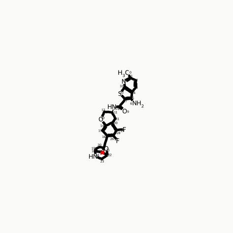 Cc1ccc2c(N)c(C(=O)N[C@H]3COc4cc(N5CC6COC(CN6)C5)c(F)c(F)c4C3)sc2n1